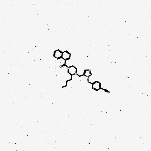 CCCCC1CN(C(=O)c2cccc3ccccc23)CCN1Cc1cncn1Cc1ccc(C#N)cc1